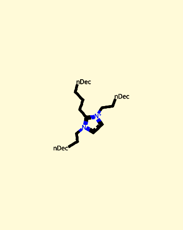 CCCCCCCCCCCCCc1n(CCCCCCCCCCCC)cc[n+]1CCCCCCCCCCCC